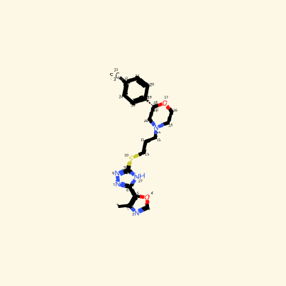 Cc1ncoc1-c1nnc(SCCCN2CCO[C@@H](c3ccc(C(F)(F)F)cc3)C2)[nH]1